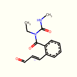 CCN(C(=O)NC)C(=O)c1ccccc1/C=C/[C]=O